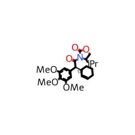 COc1cc(C(C(=O)N2C(=O)OCC2C(C)C)[C@@H]2C=CCCC2)cc(OC)c1OC